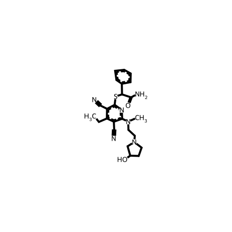 CCc1c(C#N)c(SC(C(N)=O)c2ccccc2)nc(N(C)CCN2CCC(O)C2)c1C#N